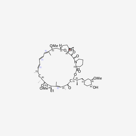 CC[C@@H]1/C(C)=C/[C@@H](C)C(=O)C[C@@H]([C@H](C)C[C@@H]2CC[C@@H](O)[C@H](OC)C2)OC(=O)[C@@H]2CCCCN2C(=O)C(=O)[C@]2(O)O[C@@H](CC[C@H]2C)C[C@H](OC)/C(C)=C/C=C/C=C/[C@@H](C)C[C@@H](C)C(=O)[C@@H]1OC